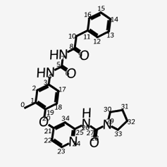 Cc1cc(NC(=O)NC(=O)Cc2ccccc2)ccc1Oc1ccnc(NC(=O)N2CCCC2)c1